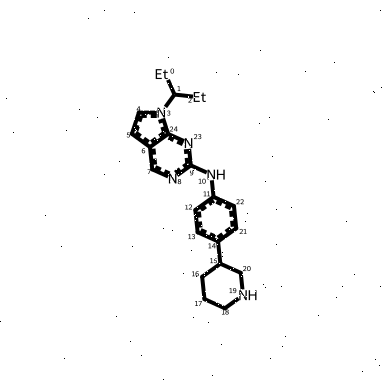 CCC(CC)n1ccc2cnc(Nc3ccc(C4CCCNC4)cc3)nc21